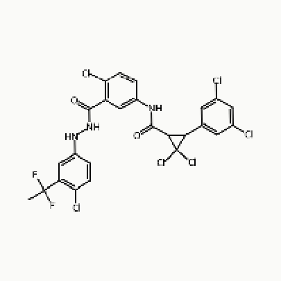 CC(F)(F)c1cc(NNC(=O)c2cc(NC(=O)C3C(c4cc(Cl)cc(Cl)c4)C3(Cl)Cl)ccc2Cl)ccc1Cl